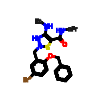 CCCNC(=O)C1=C(NCC)NN(Cc2cc(Br)ccc2OCc2ccccc2)S1